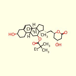 CCC(C)(C)C(=O)O[C@H]1C[C@H]2[C@@H](CC=C3C[C@H](O)CC[C@@]32C)[C@@H]2CC[C@H](CC[C@@H]3C[C@@H](O)CC(=O)O3)[C@@]12C